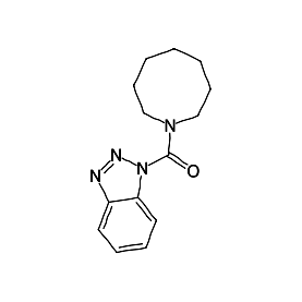 O=C(N1CCCCCCC1)n1nnc2ccccc21